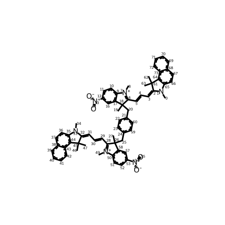 CN1/C(=C/C=C/C2=[N+](C)c3ccc([N+](=O)[O-])cc3C2(C)Cc2ccc(CC3(C)C(/C=C/C=C4/N(C)c5ccc6ccccc6c5C4(C)C)=[N+](C)c4ccc([N+](=O)[O-])cc43)cc2)C(C)(C)c2c1ccc1ccccc21